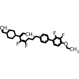 C=CC1CCC(C(=C/C)/C(F)=C(/F)CCCc2ccc(-c3ccc(OCC)c(F)c3F)cc2)CC1